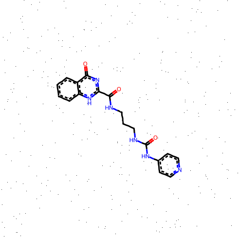 O=C(NCCCNC(=O)c1nc(=O)c2ccccc2[nH]1)Nc1ccncc1